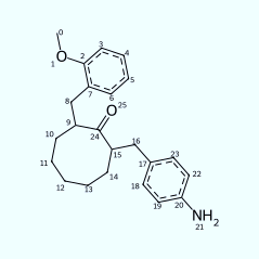 COc1ccccc1CC1CCCCCC(Cc2ccc(N)cc2)C1=O